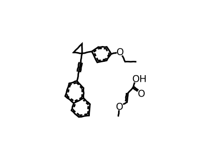 CCOc1ccc(C2(C#Cc3ccc4ccccc4c3)CC2)cc1.COC=CC(=O)O